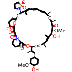 CO[C@@H]1C[C@H](C[C@@H](C)[C@@H]2CC[C@H](C)/C=C(\C)[C@@H](O)[C@@H](OC)C(=O)[C@H](C)C[C@H](C)/C=C/C=C/C=C(\C)[C@H](N3CCCS3(=O)=O)C[C@@H]3CC[C@@H](C)[C@@](O)(O3)C(=O)C(=O)N3CCCC[C@H]3C(=O)O2)CC[C@H]1O